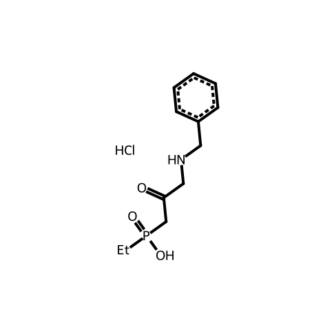 CCP(=O)(O)CC(=O)CNCc1ccccc1.Cl